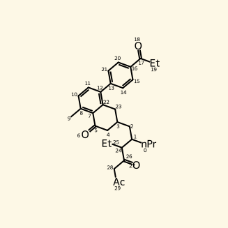 CCCC(CC1CC(=O)c2c(C)ccc(-c3ccc(C(=O)CC)cc3)c2C1)C(CC)C(=O)CC(C)=O